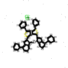 C1=C(c2ccc(-c3ccccc3)s2)[CH]([Zr+2][CH]2C(c3ccc(-c4ccccc4)s3)=Cc3c(-c4ccccc4)cccc32)c2cccc(-c3ccccc3)c21.[Cl-].[Cl-]